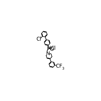 Cl.O=C(CN1CC=C(c2cccc(C(F)(F)F)c2)CC1)c1ccc(-c2ccccc2Cl)cc1